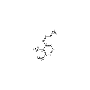 C=C/C=C\c1cccc(OC)c1C